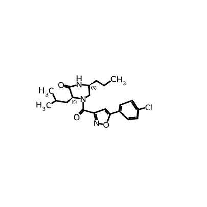 CCC[C@H]1CN(C(=O)c2cc(-c3ccc(Cl)cc3)on2)[C@@H](CC(C)C)C(=O)N1